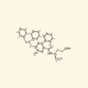 CSCC[C@H](NC(=O)c1ccc(CC(Cc2ccccc2)c2ccccc2)cc1-c1ccccc1C)C(=O)O.[LiH]